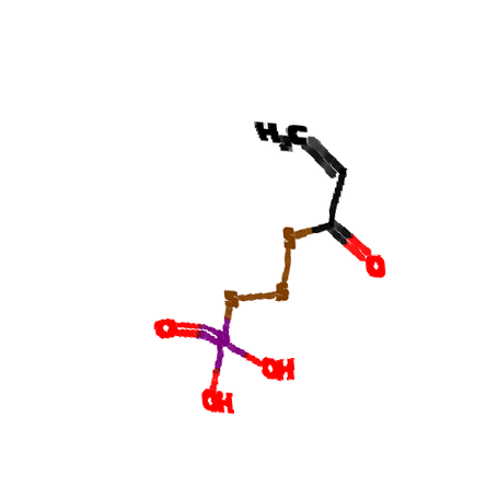 C=CC(=O)SSSP(=O)(O)O